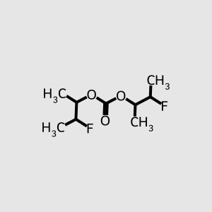 CC(F)C(C)OC(=O)OC(C)C(C)F